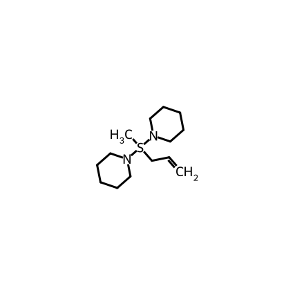 C=CCS(C)(N1CCCCC1)N1CCCCC1